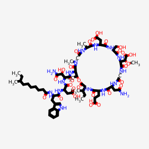 CCC(C)CCCCCCC(=O)NC(Cc1c[nH]c2ccccc12)C(=O)NC(CC(=O)O)C(=O)NC(C(=O)NC1C(=O)N(C)CC(=O)NC(C)C(=O)NC(CC(=O)O)C(=O)NC(CO)C(=O)NC(C(OC)C(=O)O)C(=O)NCC(=O)NC(CC(N)=O)C(=O)NC(CCC(=O)O)C(=O)NC(C(C)CC)C(=O)OC1C)C(O)C(N)=O